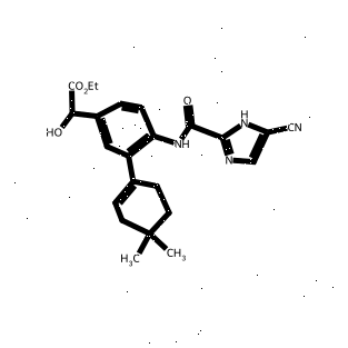 CCOC(=O)C(O)c1ccc(NC(=O)c2ncc(C#N)[nH]2)c(C2=CCC(C)(C)CC2)c1